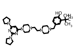 CC(C)(C)c1cc(CN2CCN(CCN3CCN(c4cc(N5CCCC5)nc(N5CCCC5)n4)CC3)CC2)ccc1O